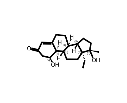 CC[C@]12CC[C@H]3[C@@H](CCC4=CC(=O)C[C@H](O)[C@@H]43)[C@@H]1CC[C@]2(C)O